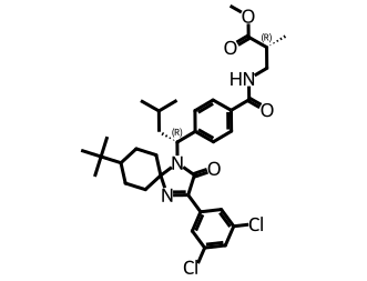 COC(=O)[C@H](C)CNC(=O)c1ccc([C@@H](CC(C)C)N2C(=O)C(c3cc(Cl)cc(Cl)c3)=NC23CCC(C(C)(C)C)CC3)cc1